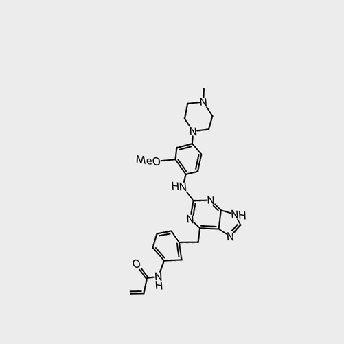 C=CC(=O)Nc1cccc(Cc2nc(Nc3ccc(N4CCN(C)CC4)cc3OC)nc3[nH]cnc23)c1